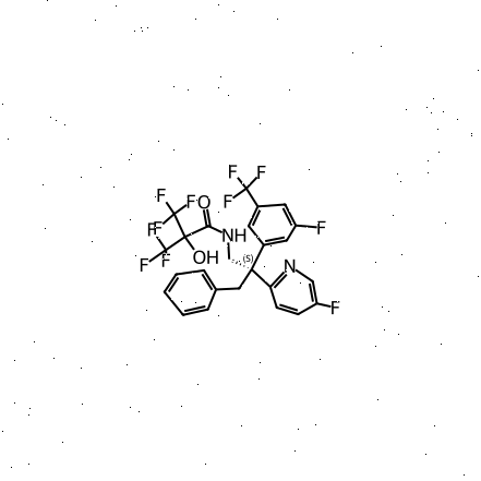 O=C(NC[C@](Cc1ccccc1)(c1cc(F)cc(C(F)(F)F)c1)c1ccc(F)cn1)C(O)(C(F)(F)F)C(F)(F)F